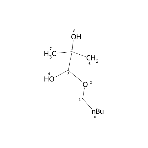 CCCCCOC(O)C(C)(C)O